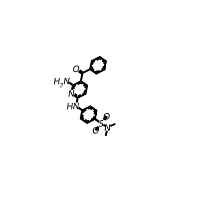 CN(C)S(=O)(=O)c1ccc(Nc2ccc(C(=O)c3ccccc3)c(N)n2)cc1